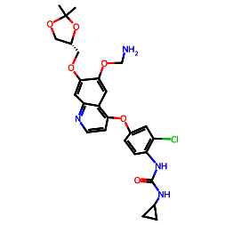 CC1(C)OC[C@@H](COc2cc3nccc(Oc4ccc(NC(=O)NC5CC5)c(Cl)c4)c3cc2OCN)O1